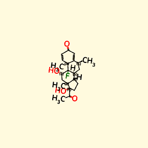 CC(=O)[C@@]1(O)CC[C@H]2[C@@H]3C[C@H](C)C4=CC(=O)C=C[C@]4(C)C3(F)[C@@H](O)C[C@@]21C